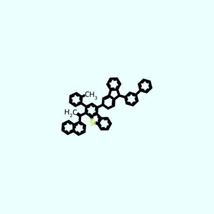 C=C(c1cccc2ccccc12)c1c(-c2ccccc2C)cc(C2C=C3C(=CC2)C(c2cccc(-c4ccccc4)c2)c2ccccc23)c2c1sc1ccccc12